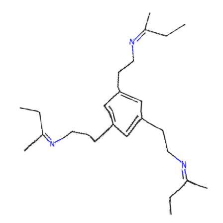 CCC(C)=NCCc1cc(CCN=C(C)CC)cc(CCN=C(C)CC)c1